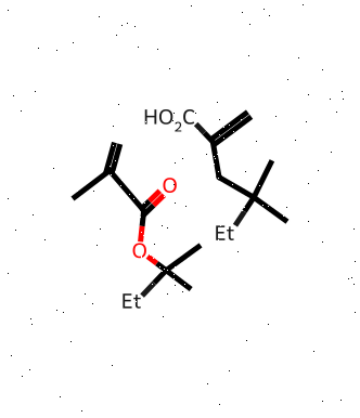 C=C(C)C(=O)OC(C)(C)CC.C=C(CC(C)(C)CC)C(=O)O